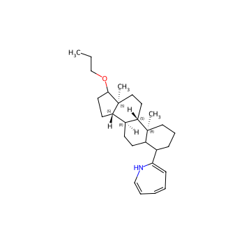 CCCOC1CC[C@H]2[C@@H]3CCC4C(C5=CC=CC=CN5)CCC[C@]4(C)[C@H]3CC[C@]12C